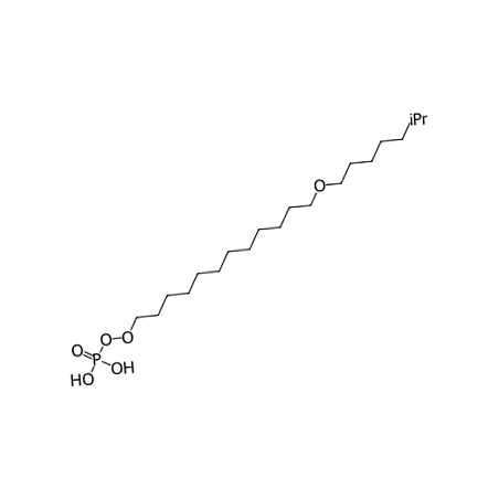 CC(C)CCCCCOCCCCCCCCCCCCOOP(=O)(O)O